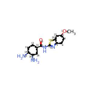 COc1ccc2nc(NC(=O)c3ccc(N)c(N)c3)sc2c1